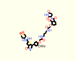 COc1cc(-c2cn(C)c(=O)c3cc(C(=N)NC4CCS(=O)(=O)CC4)sc23)ccc1OCC(=O)NCCCCNC(=O)COc1cccc2c1C(=O)N(C1CCC(=O)NC1=O)C2=O